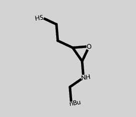 CCCCCNC1OC1CCS